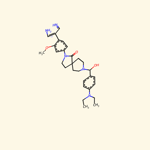 CCN(CC)c1ccc(C(O)N2CCC3(CCN(c4ccc(/C(C=N)=C/N)c(OC)c4)C3=O)CC2)cc1